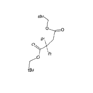 CC(C)C(CC(=O)OCC(C)(C)C)(C(=O)OCC(C)(C)C)C(C)C